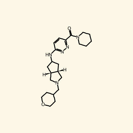 O=C(c1ccc(NC2C[C@@H]3CN(CC4CCOCC4)C[C@@H]3C2)nn1)N1CCCCC1